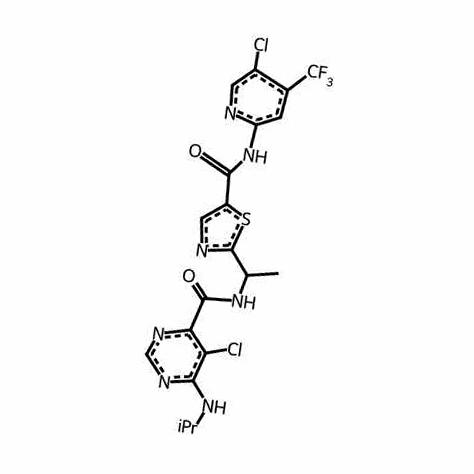 CC(C)Nc1ncnc(C(=O)NC(C)c2ncc(C(=O)Nc3cc(C(F)(F)F)c(Cl)cn3)s2)c1Cl